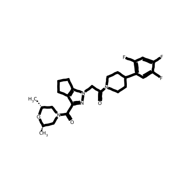 C[C@@H]1CN(C(=O)c2nn(CC(=O)N3CCC(c4cc(F)c(F)cc4F)CC3)c3c2CCC3)C[C@H](C)O1